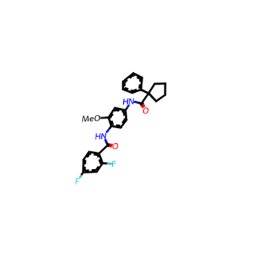 COc1cc(NC(=O)C2(c3ccccc3)CCCC2)ccc1NC(=O)c1ccc(F)cc1F